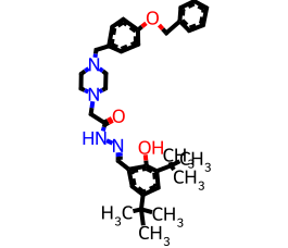 CC(C)(C)c1cc(C=NNC(=O)CN2CCN(Cc3ccc(OCc4ccccc4)cc3)CC2)c(O)c(C(C)(C)C)c1